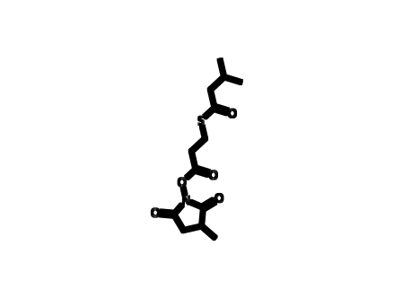 CC(C)CC(=O)SCCC(=O)ON1C(=O)CC(C)C1=O